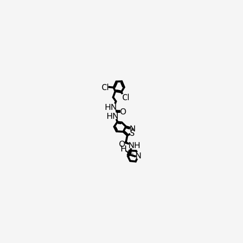 O=C(NCCc1c(Cl)cccc1Cl)Nc1ccc2c(C(=O)N[C@@H]3CN4CCC3CC4)snc2c1